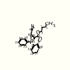 CCCCOC(=O)C(CC#N)=[PH](c1ccccc1)c1ccccc1